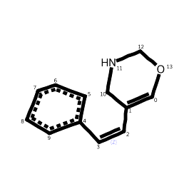 C1=C(/C=C\c2ccccc2)CNCO1